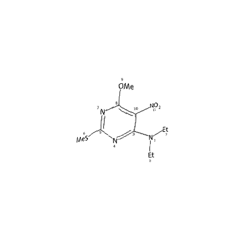 CCN(CC)c1nc(SC)nc(OC)c1[N+](=O)[O-]